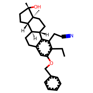 CCc1c(OCc2ccccc2)cc2c(c1CC#N)[C@H]1CC[C@@]3(C)[C@@H](CC[C@]3(C)O)[C@@H]1CC2